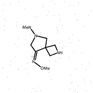 CNN1C/C(=N/OC)C2(CNC2)C1